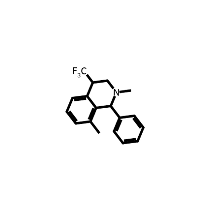 Cc1cccc2c1C(c1ccccc1)N(C)CC2C(F)(F)F